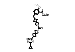 COC(=O)c1cc(CC2CC3(C2)CN(C(=O)N2CC4(CC(c5nc(C6CC6)n[nH]5)C4)C2)C3)ccc1OC(F)(F)F